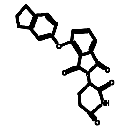 O=C1CCC(N2C(=O)c3cccc(Oc4ccc5c(c4)CCC5)c3C2=O)C(=O)N1